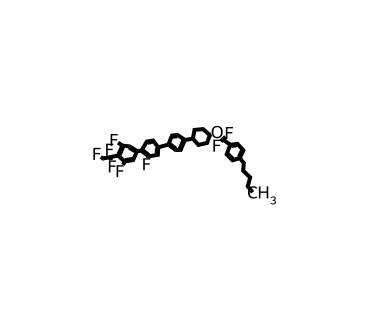 CCCCCc1ccc(C(F)(F)OC2CCC(c3ccc(-c4ccc(-c5cc(F)c(C(F)(F)CF)c(F)c5)c(F)c4)cc3)CC2)cc1